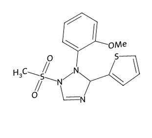 COc1ccccc1N1C(c2cccs2)N=CN1S(C)(=O)=O